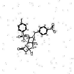 Cc1ccc(S(=O)(=O)O[C@@]2(C(=O)OCc3ccc([N+](=O)[O-])cc3)N3C(=O)C[C@H]3SC2(C)C)cc1